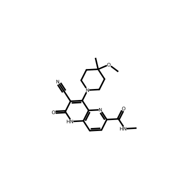 CNC(=O)c1ccc2[nH]c(=O)c(C#N)c(N3CCC(C)(OC)CC3)c2n1